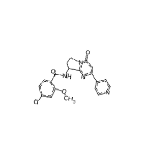 COc1cc(Cl)ccc1C(=O)NC1CCn2c1nc(-c1ccncc1)cc2=O